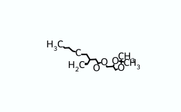 C=CC(CCCCCCC)CC(=O)OCC1COC(C)(C)O1